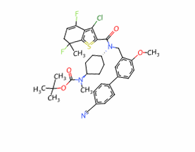 COc1ccc(-c2ccc(C#N)cc2)cc1CN(C(=O)c1sc2c(c1Cl)C(F)=CCC2(C)F)[C@H]1CC[C@H](N(C)C(=O)OC(C)(C)C)CC1